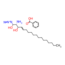 CCCCCCCCCCCCC/C=C/[C@@H](O)[C@@H](N)C(O)N=[N+]=[N-].O=C(O)c1ccccc1